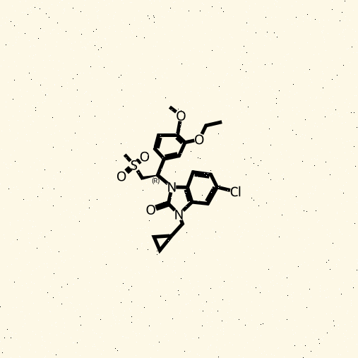 CCOc1cc([C@H](CS(C)(=O)=O)n2c(=O)n(CC3CC3)c3cc(Cl)ccc32)ccc1OC